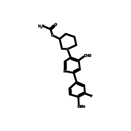 COc1ccc(-c2cc(C=O)c(N3CCCC(OC(N)=O)C3)cn2)cc1F